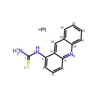 NC(=S)Nc1cccc2nc3ccccc3cc12.[Pt]